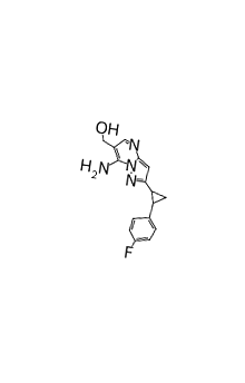 Nc1c(CO)cnc2cc(C3CC3c3ccc(F)cc3)nn12